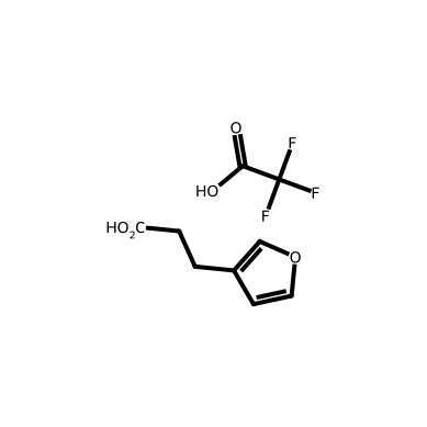 O=C(O)C(F)(F)F.O=C(O)CCc1ccoc1